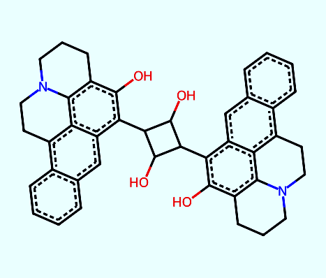 Oc1c2c3c4c(c5ccccc5cc4c1C1C(O)C(c4c(O)c5c6c7c(c8ccccc8cc47)CCN6CCC5)C1O)CCN3CCC2